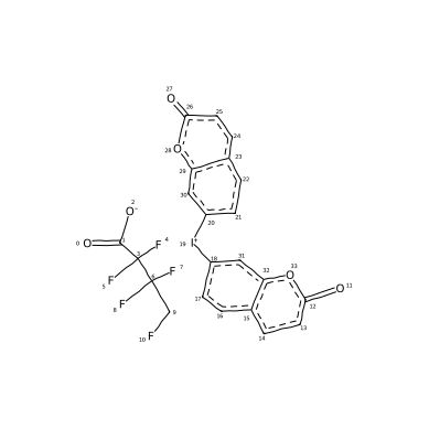 O=C([O-])C(F)(F)C(F)(F)CF.O=c1ccc2ccc([I+]c3ccc4ccc(=O)oc4c3)cc2o1